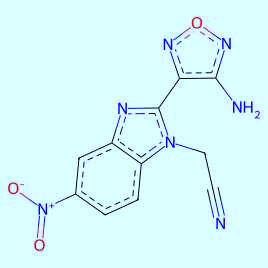 N#CCn1c(-c2nonc2N)nc2cc([N+](=O)[O-])ccc21